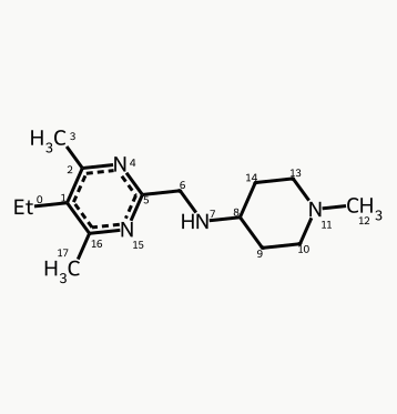 CCc1c(C)nc(CNC2CCN(C)CC2)nc1C